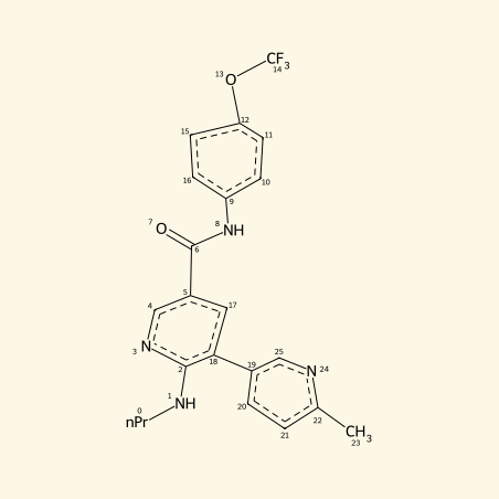 CCCNc1ncc(C(=O)Nc2ccc(OC(F)(F)F)cc2)cc1-c1ccc(C)nc1